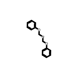 c1ccc(OC[N]COc2ccccc2)cc1